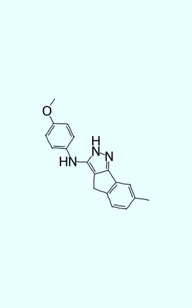 COc1ccc(Nc2[nH]nc3c2Cc2ccc(C)cc2-3)cc1